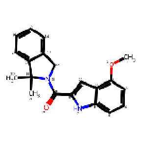 COc1cccc2[nH]c(C(=O)N3Cc4ccccc4C3(C)C)cc12